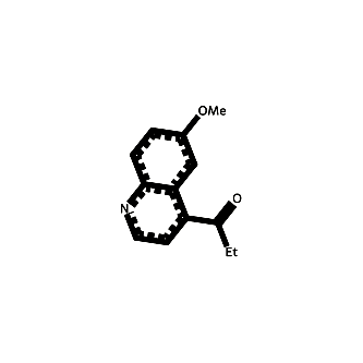 CCC(=O)c1ccnc2ccc(OC)cc12